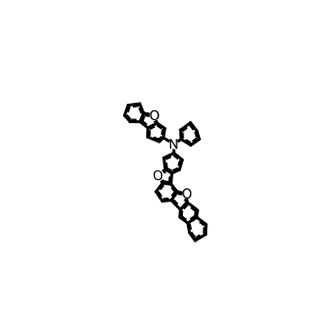 c1ccc(N(c2ccc3c(c2)oc2ccccc23)c2ccc3c(c2)oc2ccc4c5cc6ccccc6cc5oc4c23)cc1